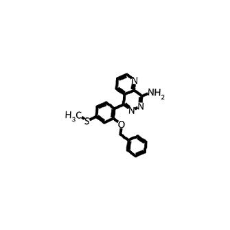 CSc1ccc(-c2nnc(N)c3ncccc23)c(OCc2ccccc2)c1